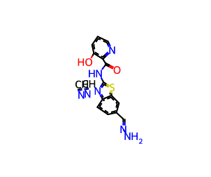 C#N.C#N.NN=Cc1ccc2nc(NC(=O)c3ncccc3O)sc2c1